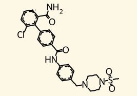 CS(=O)(=O)N1CCN(Cc2ccc(NC(=O)c3ccc(-c4c(C(N)=O)[c]ccc4Cl)cc3)cc2)CC1